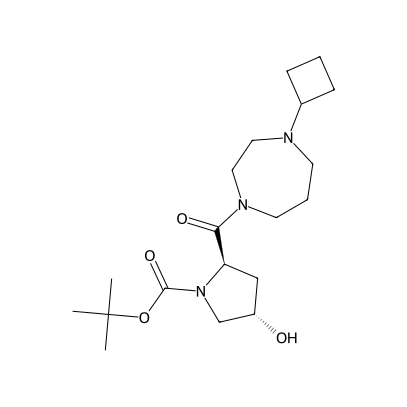 CC(C)(C)OC(=O)N1C[C@@H](O)C[C@@H]1C(=O)N1CCCN(C2CCC2)CC1